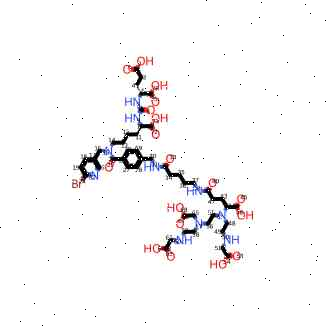 O=C(O)CC[C@@H](NC(=O)N[C@H](CCCCN(Cc1ccc(Br)nc1)C(=O)c1ccc(CNC(=O)CCCCNC(=O)CCC(C(=O)O)N(CCNCC(=O)O)CCN(CCNCC(=O)O)CC(=O)O)cc1)C(=O)O)C(=O)O